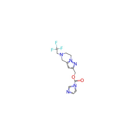 O=C(OCc1cc2n(n1)CCN(CC(F)(F)F)C2)n1ccnc1